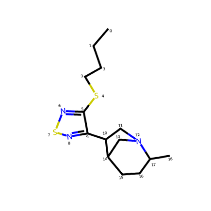 CCCCSc1nsnc1C1CN2CC1CCC2C